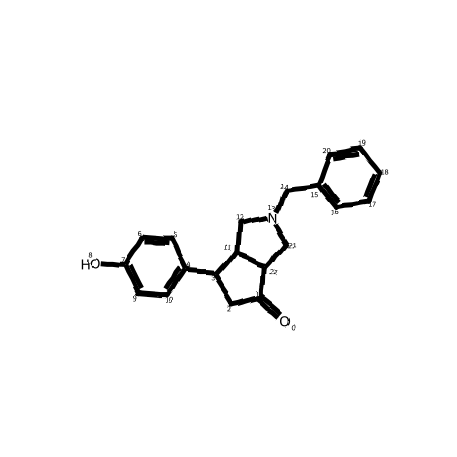 O=C1CC(c2ccc(O)cc2)C2CN(Cc3ccccc3)CC12